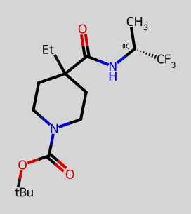 CCC1(C(=O)N[C@H](C)C(F)(F)F)CCN(C(=O)OC(C)(C)C)CC1